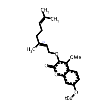 COc1c(OC/C=C(\C)CCC=C(C)C)c(=O)oc2cc(OC(C)(C)C)ccc12